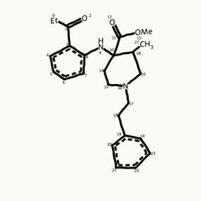 CCC(=O)c1ccccc1NC1(C(=O)OC)CCN(CCc2ccccc2)CC1C